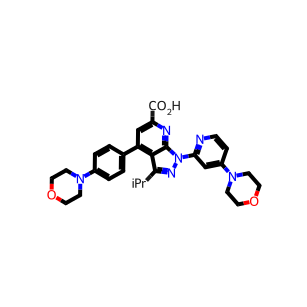 CC(C)c1nn(-c2cc(N3CCOCC3)ccn2)c2nc(C(=O)O)cc(-c3ccc(N4CCOCC4)cc3)c12